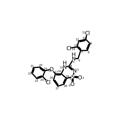 O=S1(=O)N=C(NCc2ccc(Cl)cc2Cl)Nc2c(Oc3ccccc3Cl)cccc21